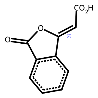 O=C(O)/C=C1\OC(=O)c2ccccc21